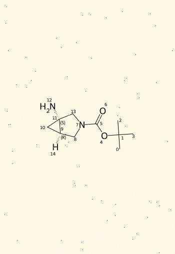 CC(C)(C)OC(=O)N1C[C@H]2C[C@@]2(N)C1